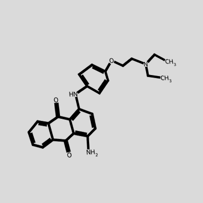 CCN(CC)CCOc1ccc(Nc2ccc(N)c3c2C(=O)c2ccccc2C3=O)cc1